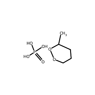 CC1CCCOO1.O=P(O)(O)O